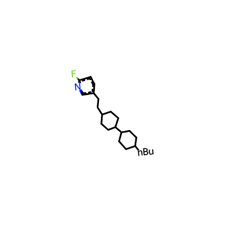 CCCCC1CCC(C2CCC(CCc3ccc(F)nc3)CC2)CC1